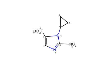 CCOC(=O)c1cnc([N+](=O)[O-])n1C1CC1